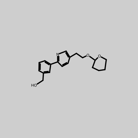 OCc1cccc(-c2ccc(CCOC3CCCCO3)cn2)c1